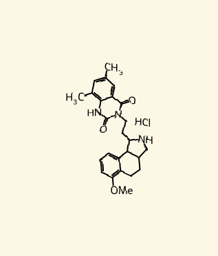 COc1cccc2c1CCC1CNC(CCn3c(=O)[nH]c4c(C)cc(C)cc4c3=O)C21.Cl